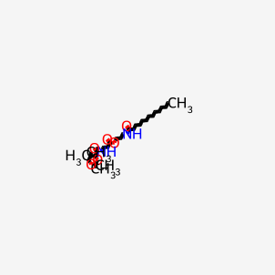 CCCCCCCCCCCCCC(=O)NCCCOC(=O)CCNC(=O)C1OC(C)(C)OCC1(C)C